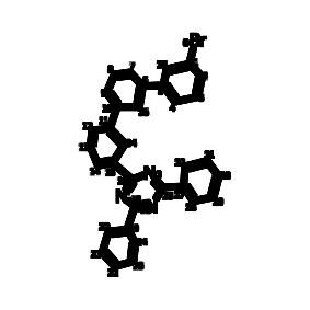 Brc1cccc(-c2cccc(-c3cccc(-c4nc(-c5ccccc5)nc(-c5ccccc5)n4)c3)c2)c1